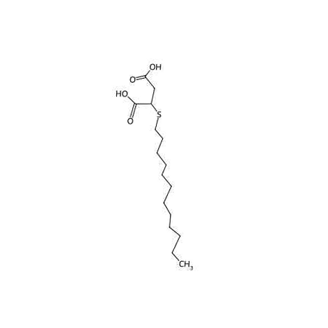 CCCCCCCCCCCCSC(CC(=O)O)C(=O)O